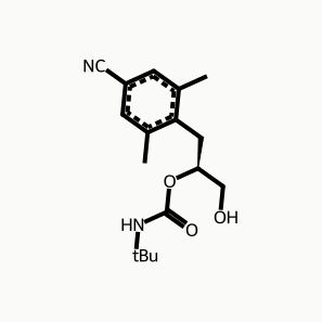 Cc1cc(C#N)cc(C)c1C[C@@H](CO)OC(=O)NC(C)(C)C